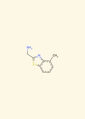 Cc1cccc2sc(CN)nc12